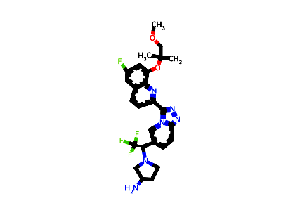 COCC(C)(C)Oc1cc(F)cc2ccc(-c3nnc4ccc([C@@H](N5CCC(N)C5)C(F)(F)F)cn34)nc12